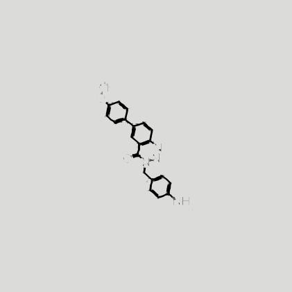 Nc1ccc(Cn2nnc3ccc(-c4ccc(OC(F)(F)F)cc4)cc3c2=O)cc1